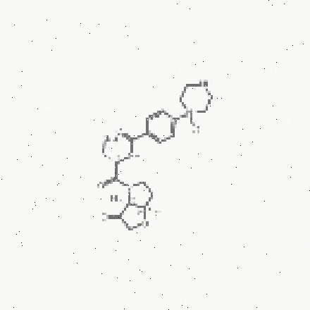 CC[N+]1(c2ccc(C(=O)N[C@@H](CC(C)(C)C)C(=O)N3CC[C@H]4OCC(=O)[C@H]43)cc2)CCNCC1